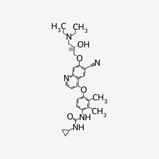 CCN(CC)C[C@H](O)COc1cc2nccc(Oc3ccc(NC(=O)NC4CC4)c(C)c3C)c2cc1C#N